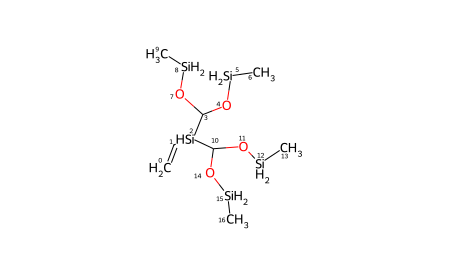 C=C[SiH](C(O[SiH2]C)O[SiH2]C)C(O[SiH2]C)O[SiH2]C